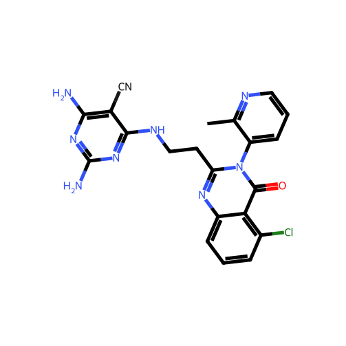 Cc1ncccc1-n1c(CCNc2nc(N)nc(N)c2C#N)nc2cccc(Cl)c2c1=O